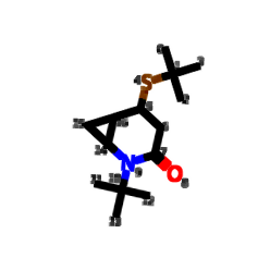 CC(C)(C)SC1CC(=O)N(C(C)(C)C)C2CC12